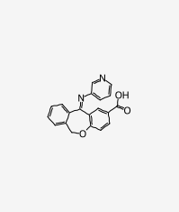 O=C(O)c1ccc2c(c1)/C(=N\c1cccnc1)c1ccccc1CO2